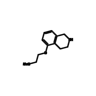 COCCOc1cccc2c1CCNC2